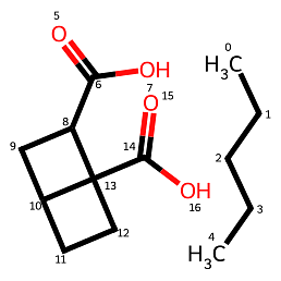 CCCCC.O=C(O)C1CC2CCC21C(=O)O